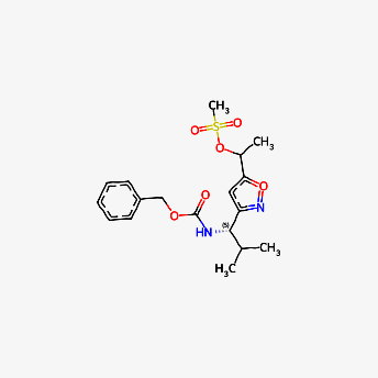 CC(OS(C)(=O)=O)c1cc([C@@H](NC(=O)OCc2ccccc2)C(C)C)no1